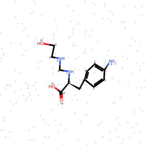 Nc1ccc(C[C@H](NCNCCO)C(=O)O)cc1